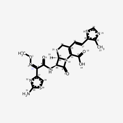 CO/N=C(\C(=O)N[C@@H]1C(=O)N2C(C(=O)O)=C(C=Cc3scnc3C)CS[C@H]12)c1csc(N)n1